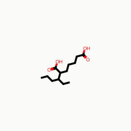 CCCC(CC)C(CCCCC(=O)O)C(=O)O